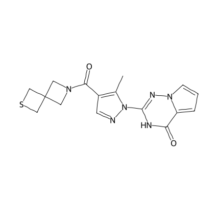 Cc1c(C(=O)N2CC3(CSC3)C2)cnn1-c1nn2cccc2c(=O)[nH]1